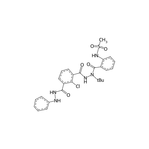 CC(C)(C)N(NC(=O)c1cccc(C(=O)NNc2ccccc2)c1Cl)C(=O)c1ccccc1NS(C)(=O)=O